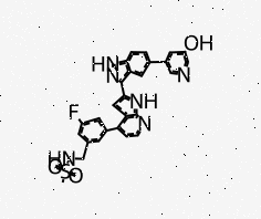 CS(=O)(=O)NCc1cc(F)cc(-c2ccnc3[nH]c(-c4n[nH]c5ccc(-c6cncc(O)c6)cc45)cc23)c1